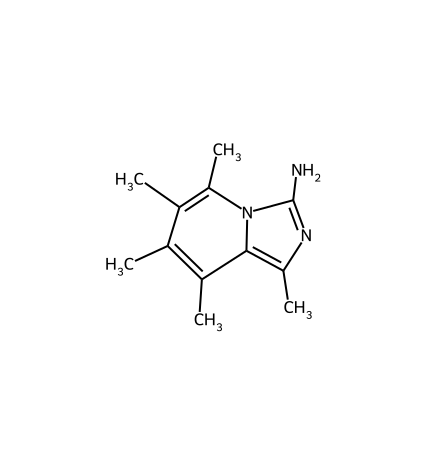 Cc1c(C)c(C)n2c(N)nc(C)c2c1C